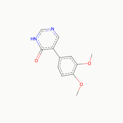 COc1ccc(-c2cnc[nH]c2=O)cc1OC